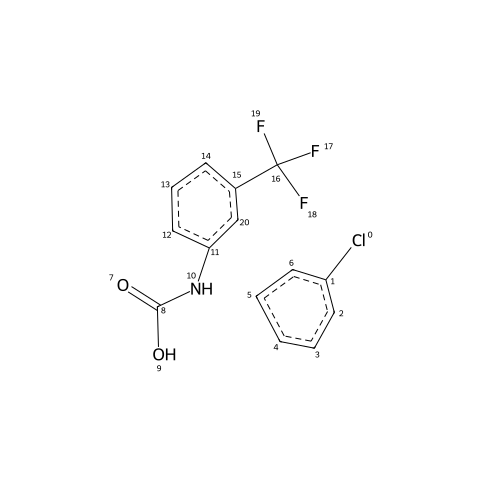 Clc1ccccc1.O=C(O)Nc1cccc(C(F)(F)F)c1